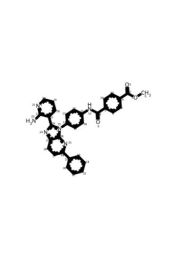 COC(=O)c1ccc(C(=O)Nc2ccc(-n3c(-c4cccnc4N)nc4ccc(-c5ccccc5)nc43)cc2)cc1